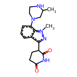 CC1CN(c2cccc3c(C4CCC(=O)NC4=O)nn(C)c23)CCN1